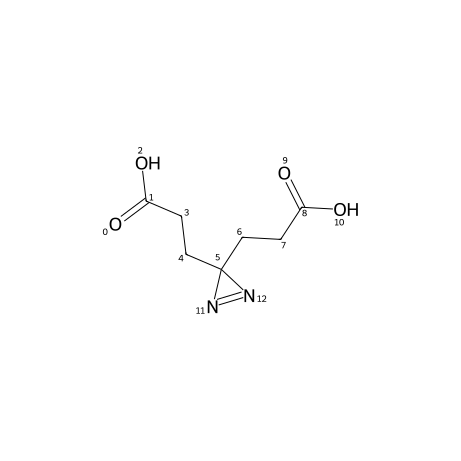 O=C(O)CCC1(CCC(=O)O)N=N1